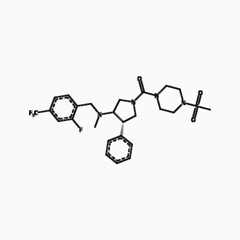 CN(Cc1ccc(C(F)(F)F)cc1F)C1CN(C(=O)N2CCN(S(C)(=O)=O)CC2)C[C@@H]1c1ccccc1